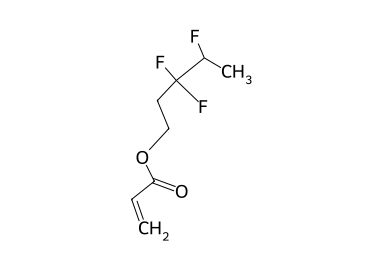 C=CC(=O)OCCC(F)(F)C(C)F